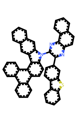 c1ccc2cc3c(cc2c1)c1c2c4ccccc4c4ccccc4c2ccc1n3-c1nc2c(ccc3ccccc32)nc1-c1ccc2c(c1)sc1ccccc12